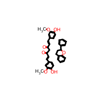 COc1cc(/C=C/C(=O)CC(=O)/C=C/c2ccc(O)c(OC)c2)ccc1O.c1ccc(C2CCc3ccccc3O2)cc1